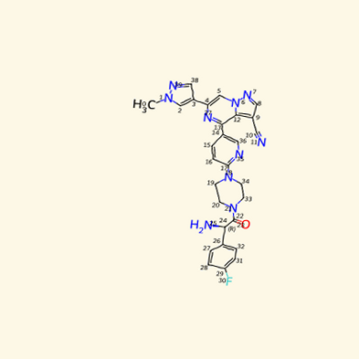 Cn1cc(-c2cn3ncc(C#N)c3c(-c3ccc(N4CCN(C(=O)[C@H](N)c5ccc(F)cc5)CC4)nc3)n2)cn1